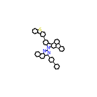 c1ccc(-c2ccc(-c3nc(-n4c5ccc(-c6ccc7sc8ccccc8c7c6)cc5c5c6cccc7c6c(cc54)-c4ccccc4-7)nc4c3ccc3ccccc34)cc2)cc1